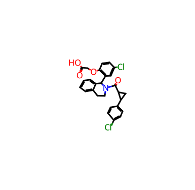 O=C(O)COc1ccc(Cl)cc1C1c2ccccc2CCN1C(=O)C1CC1c1ccc(Cl)cc1